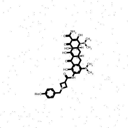 COc1ccc(CN2CC(C(=O)Nc3cc(N(C)C)c4c(c3O)C(=O)C3=C(O)[C@]5(O)C(=O)C(C(N)=O)=C(O)[C@@H](N(C)C)[C@@H]5C[C@@H]3C4)C2)cc1